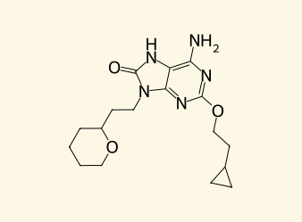 Nc1nc(OCCC2CC2)nc2c1[nH]c(=O)n2CCC1CCCCO1